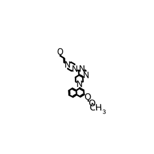 COCOc1cc(N2CCc3c(ncnc3N3CCN(C=CC=O)CC3)C2)c2ccccc2c1